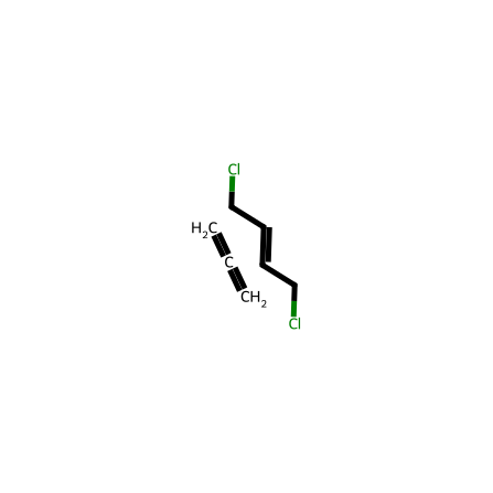 C=C=C.ClCC=CCCl